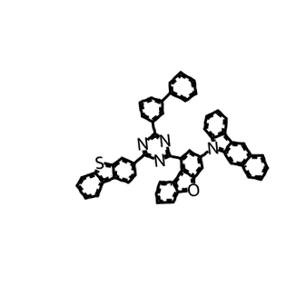 c1ccc(-c2cccc(-c3nc(-c4ccc5c(c4)sc4ccccc45)nc(-c4cc(-n5c6ccccc6c6cc7ccccc7cc65)cc5oc6ccccc6c45)n3)c2)cc1